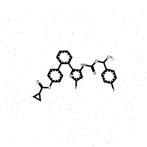 CC(OC(=O)Nc1cc(F)sc1-c1ccccc1-c1ccc(OC(=O)C2CC2)cc1)c1ccc(F)cc1